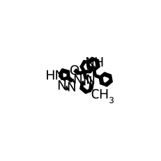 Cc1ccc(N(C(=O)C2(CN=C(c3ccccc3)c3ccccc3)CCNCC2)c2ncnc3[nH]ccc23)nc1